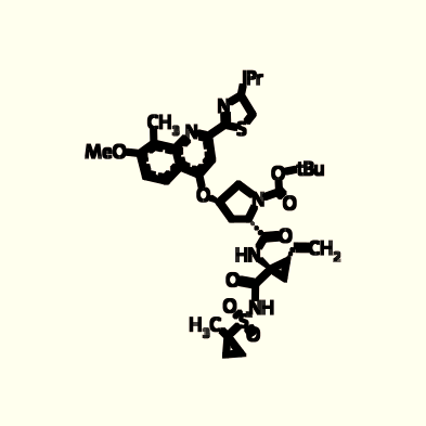 C=C[C@@H]1C[C@]1(NC(=O)[C@@H]1C[C@@H](Oc2cc(C3=NC(C(C)C)CS3)nc3c(C)c(OC)ccc23)CN1C(=O)OC(C)(C)C)C(=O)NS(=O)(=O)C1(C)CC1